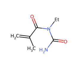 C=C(C)C(=O)N(CC)C(N)=O